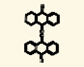 O=C1C2=C(CCCC2)C(=O)c2ccccc21.O=C1c2ccccc2C(=O)c2ccccc21